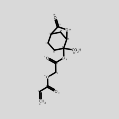 C=CC(=O)OCC(=O)OC1(C(=O)O)CCC2CC1OC2=O